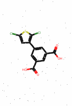 O=C(O)c1cc(C(=O)O)cc(-c2cc(Cl)sc2Cl)c1